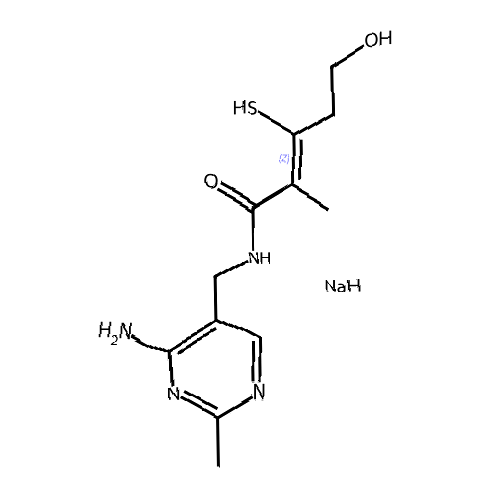 C/C(C(=O)NCc1cnc(C)nc1N)=C(/S)CCO.[NaH]